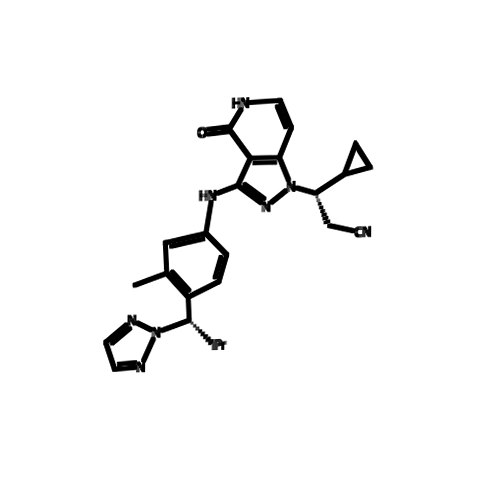 Cc1cc(Nc2nn([C@@H](CC#N)C3CC3)c3cc[nH]c(=O)c23)ccc1[C@H](C(C)C)n1nccn1